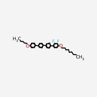 CCCCCCCCCOc1ccc(-c2ccc(-c3ccc(-c4ccc(OCCCCC)cc4)cc3)cc2)c(F)c1F